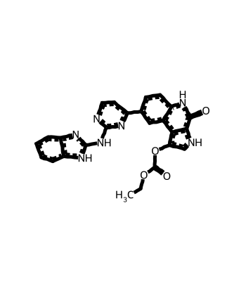 CCOC(=O)Oc1c[nH]c2c(=O)[nH]c3ccc(-c4ccnc(Nc5nc6ccccc6[nH]5)n4)cc3c12